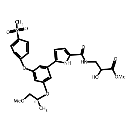 COC[C@H](C)Oc1cc(Oc2ccc(S(C)(=O)=O)cc2)cc(-c2ccc(C(=O)NCC(O)C(=O)OC)[nH]2)c1